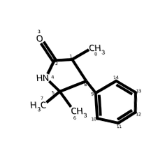 CC1C(=O)NC(C)(C)C1c1ccccc1